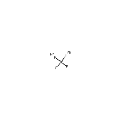 F[B-](F)(F)F.[H+].[Ni]